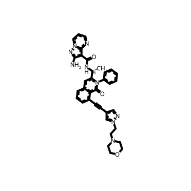 C[C@@H](NC(=O)c1c(N)nn2cccnc12)c1cc2cccc(C#Cc3cnn(CCN4CCOCC4)c3)c2c(=O)n1-c1ccccc1